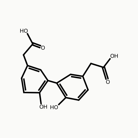 O=C(O)Cc1ccc(O)c(-c2cc(CC(=O)O)ccc2O)c1